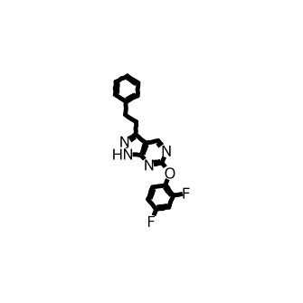 Fc1ccc(Oc2ncc3c(CCc4ccccc4)n[nH]c3n2)c(F)c1